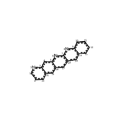 c1cnc2cc3nc4nc5ccccc5cc4cc3cc2c1